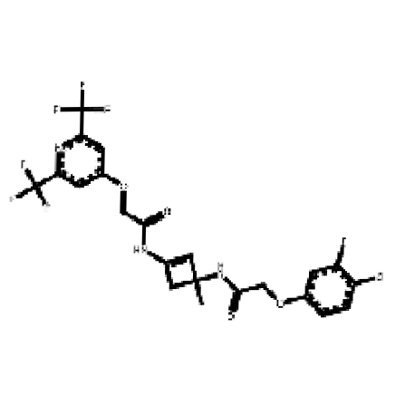 CC1(NC(=O)COc2ccc(Cl)c(F)c2)C=C(NC(=O)COc2cc(C(F)(F)F)nc(C(F)(F)F)c2)C1